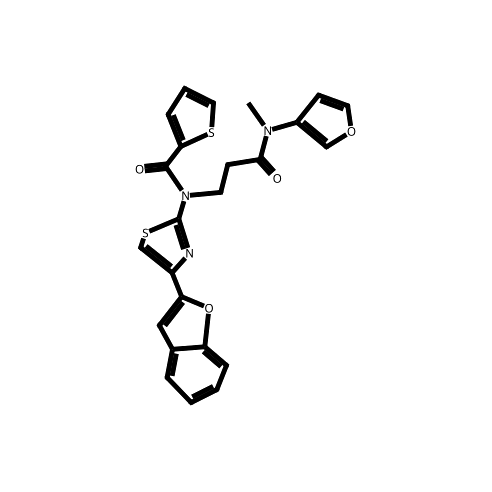 CN(C(=O)CCN(C(=O)c1cccs1)c1nc(-c2cc3ccccc3o2)cs1)c1ccoc1